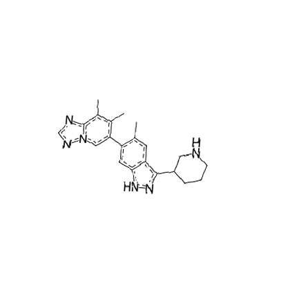 Cc1cc2c(C3CCCNC3)n[nH]c2cc1-c1cn2ncnc2c(C)c1C